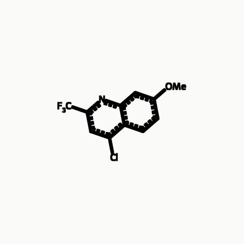 COc1ccc2c(Cl)cc(C(F)(F)F)nc2c1